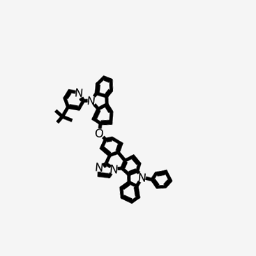 CC(C)(C)c1ccnc(-n2c3ccccc3c3ccc(Oc4ccc5c(c4)c4nccn4c4c5ccc5c4c4ccccc4n5-c4ccccc4)cc32)c1